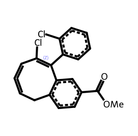 COC(=O)c1ccc2c(c1)/C(c1ccccc1Cl)=C(/Cl)C=C=CC2